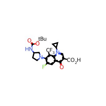 CC(C)(C)OC(=O)NC1CCN(c2c(F)cc3c(=O)c(C(=O)O)cn(C4CC4)c3c2C(F)(F)F)C1